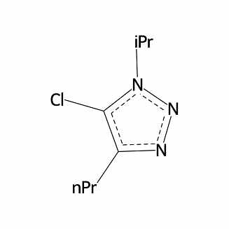 CCCc1nnn(C(C)C)c1Cl